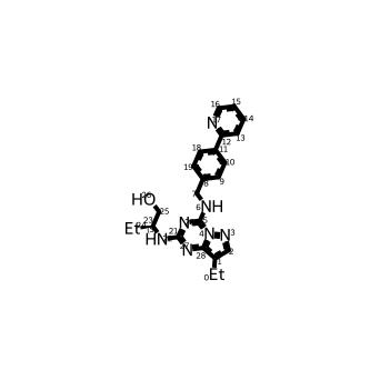 CCc1cnn2c(NCc3ccc(-c4ccccn4)cc3)nc(N[C@@H](CC)CO)nc12